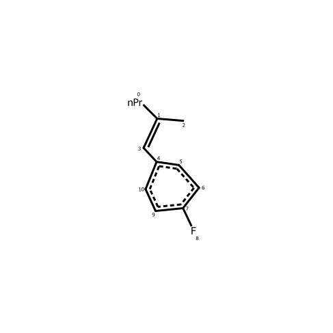 CCC/C(C)=C/c1ccc(F)cc1